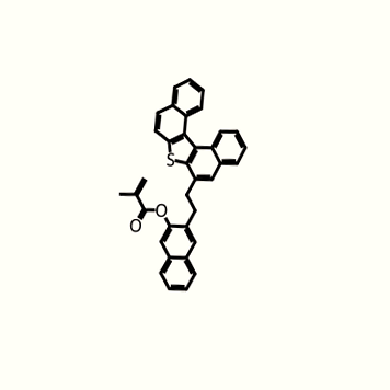 C=C(C)C(=O)Oc1cc2ccccc2cc1CCc1cc2ccccc2c2c1sc1ccc3ccccc3c12